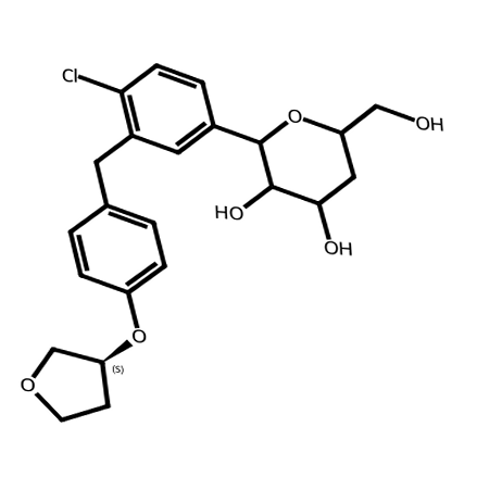 OCC1CC(O)C(O)C(c2ccc(Cl)c(Cc3ccc(O[C@H]4CCOC4)cc3)c2)O1